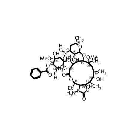 CC[C@H]1OC(=O)[C@H](C)[C@@H](OC2C[C@@](C)(OC)[C@@H](OC(=O)c3ccccc3)[C@H](C)O2)[C@H](C)[C@@H](OC2O[C@H](C)C[C@H](N(C)C)[C@H]2O)[C@@](C)(OC)C[C@@H](C)[C@H](O)[C@@H](C)[C@H]2OC(=O)N(N)C12